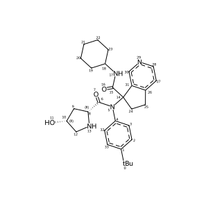 CC(C)(C)c1ccc(N(C(=O)[C@H]2C[C@@H](O)CN2)C2(C(=O)NC3CCCCC3)CCc3ccncc32)cc1